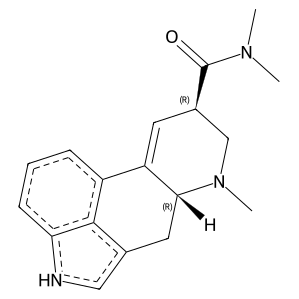 CN(C)C(=O)[C@@H]1C=C2c3cccc4[nH]cc(c34)C[C@H]2N(C)C1